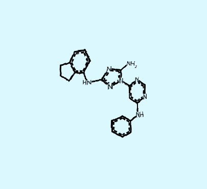 Nc1nc(Nc2cccc3c2CCC3)nn1-c1cc(Nc2ccccc2)ncn1